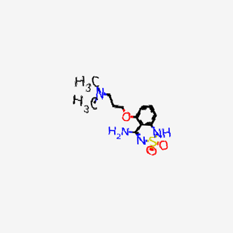 CN(C)CCCOc1cccc2c1C(N)=NS(=O)(=O)N2